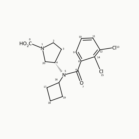 O=C(O)N1CC[C@H](N(C(=O)c2cccc(Cl)c2Cl)C2CCC2)C1